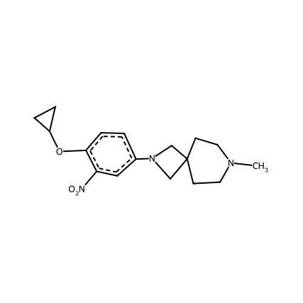 CN1CCC2(CC1)CN(c1ccc(OC3CC3)c([N+](=O)[O-])c1)C2